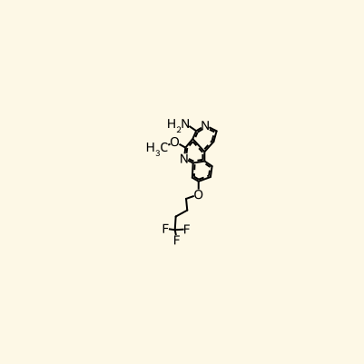 COc1nc2cc(OCCCC(F)(F)F)ccc2c2ccnc(N)c12